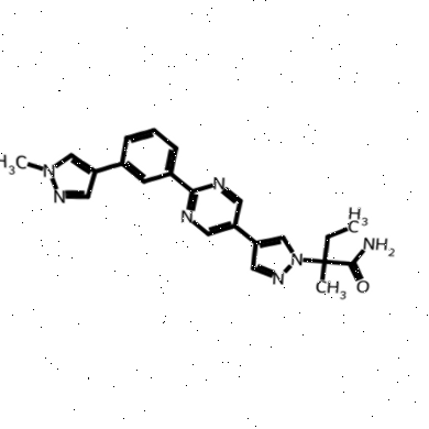 CCC(C)(C(N)=O)n1cc(-c2cnc(-c3cccc(-c4cnn(C)c4)c3)nc2)cn1